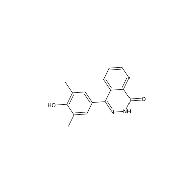 Cc1cc(-c2n[nH]c(=O)c3ccccc23)cc(C)c1O